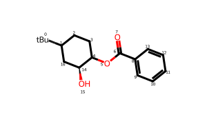 CC(C)(C)C1CCC(OC(=O)c2ccccc2)[C@@H](O)C1